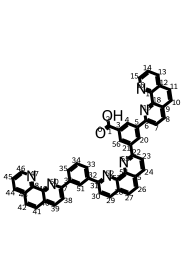 O=C(O)c1cc(-c2ccc3ccc4cccnc4c3n2)cc(-c2ccc3ccc4ccc(-c5cccc(-c6ccc7ccc8cccnc8c7n6)c5)nc4c3n2)c1